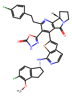 COc1c(F)ccc2c1CC[C@H]2Nc1nccc2cc(-c3c4c(nc(CCc5ccc(F)cc5)c3-c3n[nH]c(=O)o3)[C@@H]3CCCN3C4=O)sc12